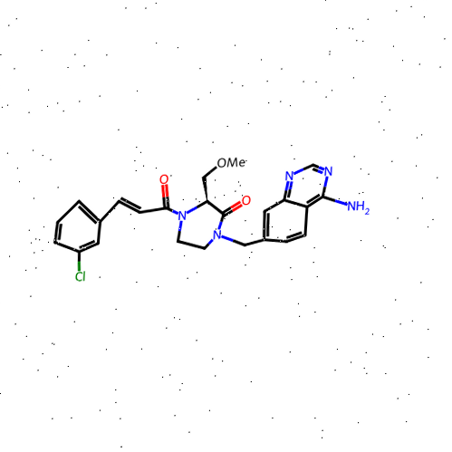 COC[C@H]1C(=O)N(Cc2ccc3c(N)ncnc3c2)CCN1C(=O)C=Cc1cccc(Cl)c1